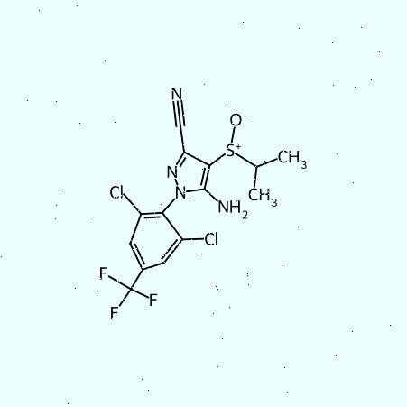 CC(C)[S+]([O-])c1c(C#N)nn(-c2c(Cl)cc(C(F)(F)F)cc2Cl)c1N